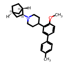 COc1ccc(-c2ccc(C)cc2)cc1C1CCN([C@H]2C[C@H]3CC[C@H]2C3)CC1